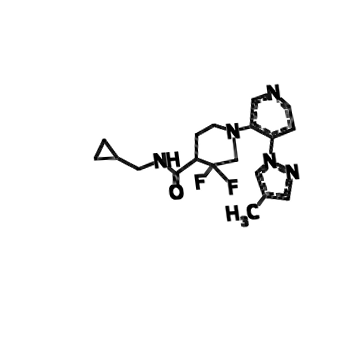 Cc1cnn(-c2ccncc2N2CCC(C(=O)NCC3CC3)C(F)(F)C2)c1